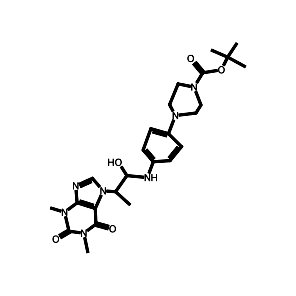 CC(C(O)Nc1ccc(N2CCN(C(=O)OC(C)(C)C)CC2)cc1)n1cnc2c1c(=O)n(C)c(=O)n2C